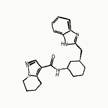 O=C(NC1CCC[C@H](Cc2nc3ccccc3[nH]2)C1)c1cnn2c1CCCC2